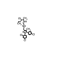 C=CCC(CC)C(C)NCCNCCc1nn(-c2ccc(Cl)cc2Cl)c(-c2ccc(Cl)cc2)c1C